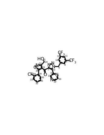 O=C(c1nnn(Cc2cc(C(F)(F)F)cc(C(F)(F)F)c2)c1-c1cnccn1)c1c(CO)noc1-c1ccccc1Cl